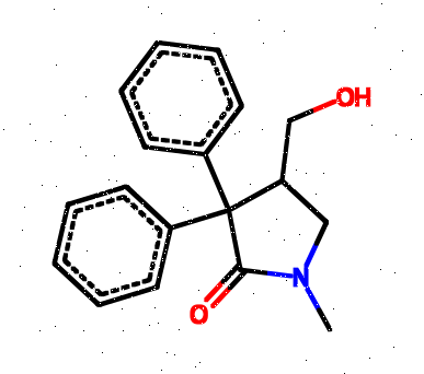 CN1CC(CO)C(c2ccccc2)(c2ccccc2)C1=O